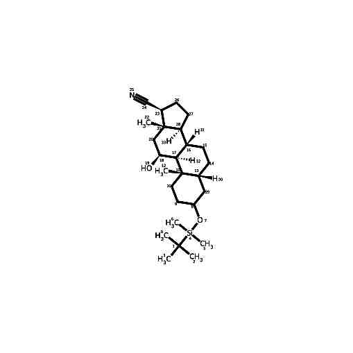 CC(C)(C)[Si](C)(C)OC1CC[C@@]2(C)[C@H](CC[C@@H]3[C@@H]2[C@@H](O)C[C@]2(C)[C@@H](C#N)CC[C@@H]32)C1